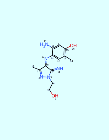 CC1=NN(CCO)C(=N)C1=Nc1cc(C)c(O)cc1N